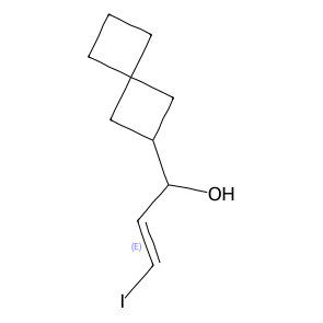 OC(/C=C/I)C1CC2(CCC2)C1